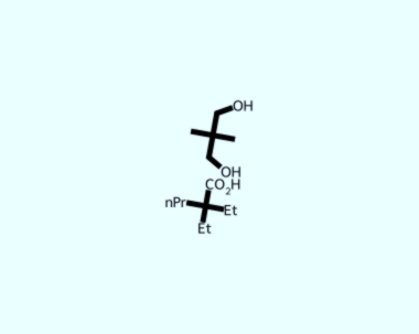 CC(C)(CO)CO.CCCC(CC)(CC)C(=O)O